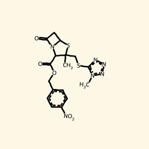 Cn1nnnc1SCC1(C)SC2CC(=O)N2C1C(=O)OCc1ccc([N+](=O)[O-])cc1